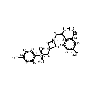 O=CC(CN1CC(CS(=O)(=O)c2ccc(F)cc2)C1)c1ccc(F)cc1Br